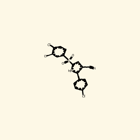 N#Cc1cc(S(=O)(=O)c2ccc(Cl)c(Cl)c2)[nH]c1-c1ccc(Cl)cc1